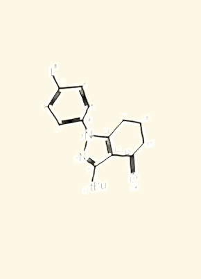 CC(C)(C)c1nn(-c2ccc(I)cc2)c2c1C(=O)CCC2